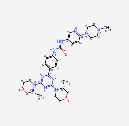 C[C@@H]1COCCN1c1nc(-c2ccc(NC(=O)Nc3ccc(N4CCN(C)CC4)nc3)cc2)nc(N2CCOC[C@H]2C)n1